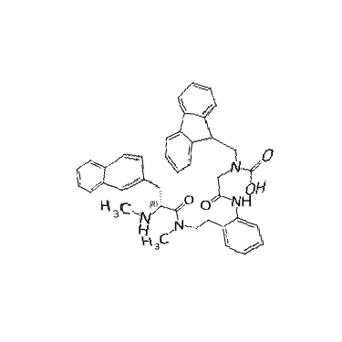 CN[C@H](Cc1ccc2ccccc2c1)C(=O)N(C)CCc1ccccc1NC(=O)CN(CC1c2ccccc2-c2ccccc21)C(=O)O